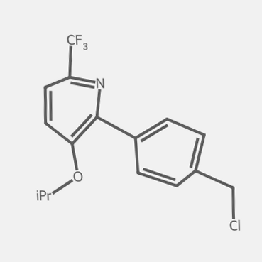 CC(C)Oc1ccc(C(F)(F)F)nc1-c1ccc(CCl)cc1